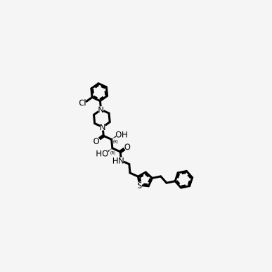 O=C(NCCc1cc(CCc2ccccc2)cs1)[C@H](O)[C@@H](O)C(=O)N1CCN(c2ccccc2Cl)CC1